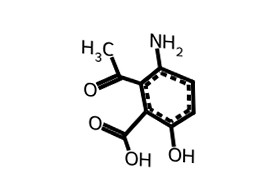 CC(=O)c1c(N)ccc(O)c1C(=O)O